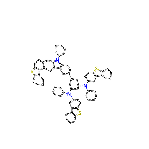 c1ccc(N(c2cc(-c3ccc4c(c3)c3cc5c(ccc6sc7ccccc7c65)cc3n4-c3ccccc3)cc(N(c3ccccc3)c3ccc4sc5ccccc5c4c3)c2)c2ccc3sc4ccccc4c3c2)cc1